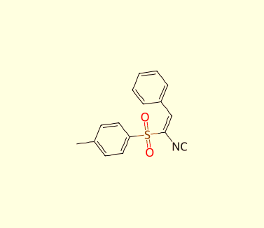 [C-]#[N+]C(=Cc1ccccc1)S(=O)(=O)c1ccc(C)cc1